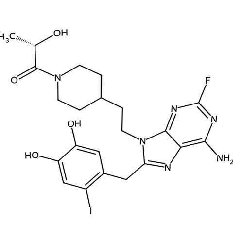 C[C@H](O)C(=O)N1CCC(CCn2c(Cc3cc(O)c(O)cc3I)nc3c(N)nc(F)nc32)CC1